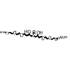 CCCCCCCCCOCCOCCOCCC(O)C[S+]([O-])CC(O)CCOCCOCCOCCCCCCCCC